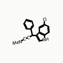 CNCCC(c1ccccc1)c1c[nH]c2ccc(Cl)cc12